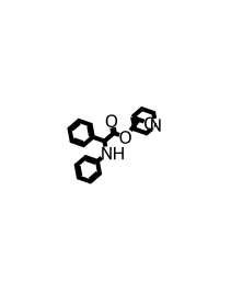 O=C(OC1CN2CCC1CC2)C(Nc1ccccc1)c1ccccc1